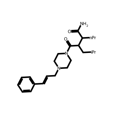 CCCC(C(N)=O)C(CC(C)C)C(=O)N1CCN(C/C=C/c2ccccc2)CC1